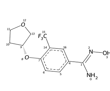 N/C(=N\O)c1ccc(O[C@@H]2CCOC2)c(C(F)(F)F)c1